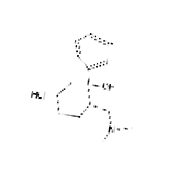 CN(C)CC1CCCCC1(O)c1c[c]ccc1.Cl